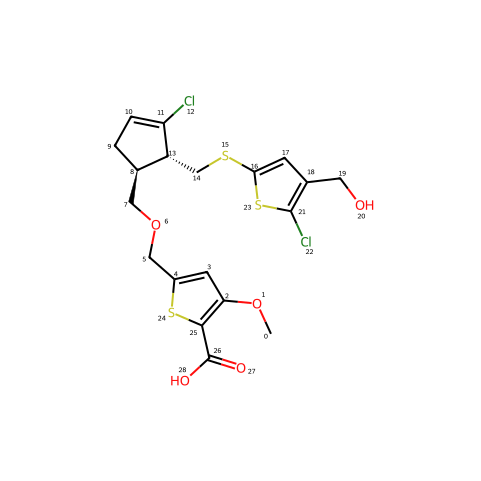 COc1cc(COC[C@H]2CC=C(Cl)[C@@H]2CSc2cc(CO)c(Cl)s2)sc1C(=O)O